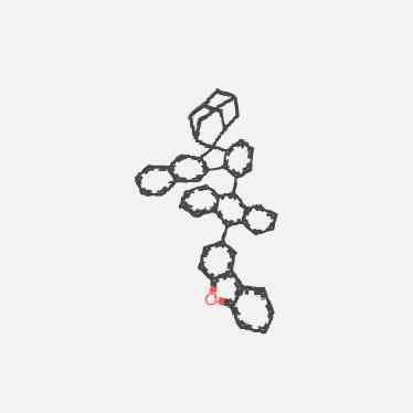 c1cc(-c2c3ccccc3c(-c3ccc4oc5ccccc5c4c3)c3ccccc23)c2c(c1)C1(c3cc4ccccc4cc3-2)C2CC3CC(C2)CC1C3